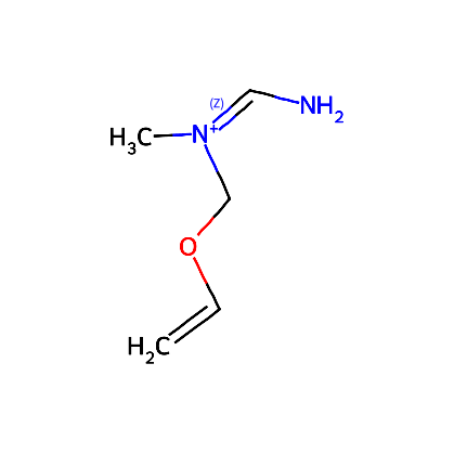 C=COC/[N+](C)=C\N